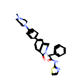 CN1CCN(c2ccc(-c3ccc4c(c3)CN([C@@H](C(=O)Nc3nccs3)c3ccccc3)C4=O)cc2)CC1